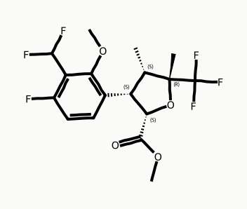 COC(=O)[C@H]1O[C@@](C)(C(F)(F)F)[C@@H](C)[C@H]1c1ccc(F)c(C(F)F)c1OC